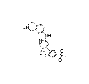 CN1CCc2ccc(Nc3ncc(C(F)(F)F)c(-c4cc(S(C)(=O)=O)cs4)n3)cc2C1